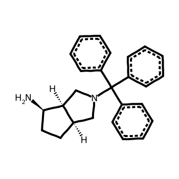 N[C@@H]1CC[C@@H]2CN(C(c3ccccc3)(c3ccccc3)c3ccccc3)C[C@@H]21